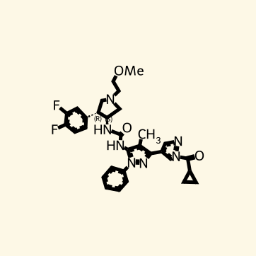 COCCN1C[C@@H](NC(=O)Nc2c(C)c(-c3cnn(C(=O)C4CC4)c3)nn2-c2ccccc2)[C@H](c2ccc(F)c(F)c2)C1